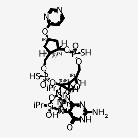 CC(C)[Si](O)(O[Si](O[C@H]1[C@H]2O[P@@](=O)(S)OC[C@H]3C[C@@H](Oc4ccncn4)C[C@@H]3O[P@@](=O)(S)OC[C@H]1O[C@H]2n1nnc2c(=O)[nH]c(N)nc21)(C(C)C)C(C)C)C(C)C